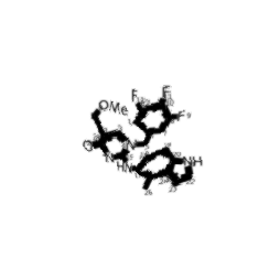 COCc1cn(Cc2cc(F)c(F)c(F)c2)c(Nc2ccc3[nH]ccc3c2C)nc1=O